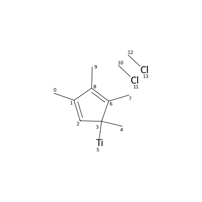 CC1=C[C](C)([Ti])C(C)=C1C.CCl.CCl